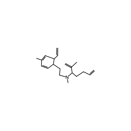 C=CCCC(C(=C)C)N(C)CCC1C=CC(C)=CC1C=C